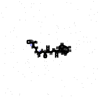 C/C(Cl)=C\CC/C(C)=C/C(=O)NCCNC1C2CC3CC(C2)CC1C3